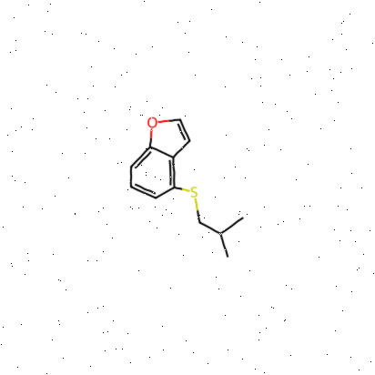 CC(C)CSc1cccc2occc12